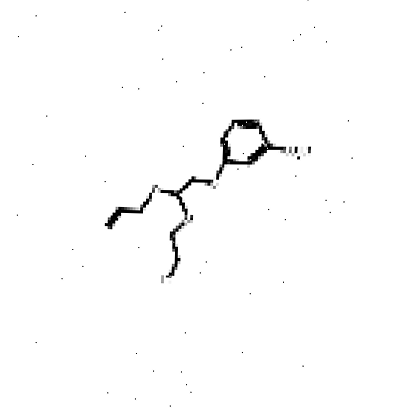 C=CCOC(COc1cccc(C(=O)OCC)c1)OCCO